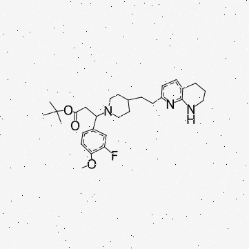 COc1ccc(C(CC(=O)OC(C)(C)C)N2CCC(CCc3ccc4c(n3)NCCC4)CC2)cc1F